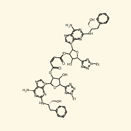 CCn1nnc(C2OC(n3cnc4c(N)nc(N[C@H](CO)Cc5ccccc5)nc43)C(OC(=O)/C=C\C(=O)OC3C(O)C(c4nnn(CC)n4)OC3n3cnc4c(N)nc(N[C@H](CO)Cc5ccccc5)nc43)C2O)n1